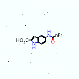 CCCC(=O)Nc1ccc2[nH]c(C(=O)O)cc2c1